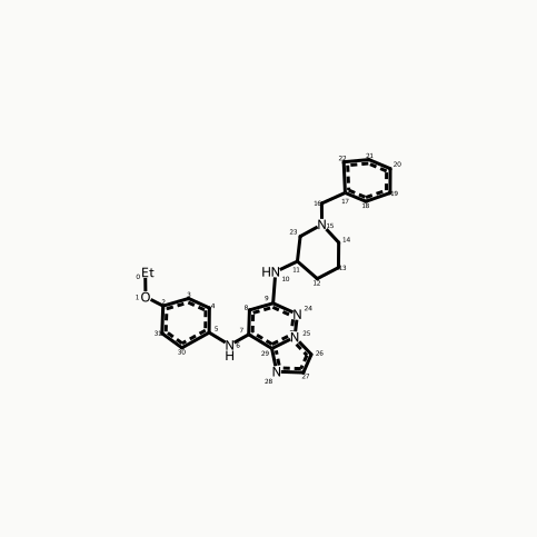 CCOc1ccc(Nc2cc(NC3CCCN(Cc4ccccc4)C3)nn3ccnc23)cc1